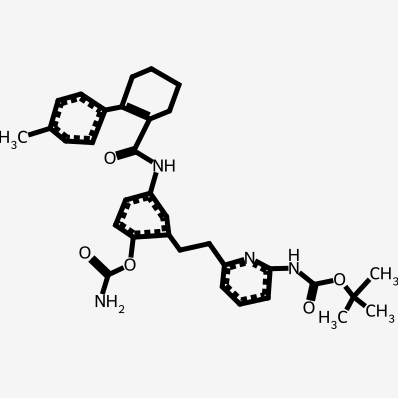 Cc1ccc(C2=C(C(=O)Nc3ccc(OC(N)=O)c(CCc4cccc(NC(=O)OC(C)(C)C)n4)c3)CCCC2)cc1